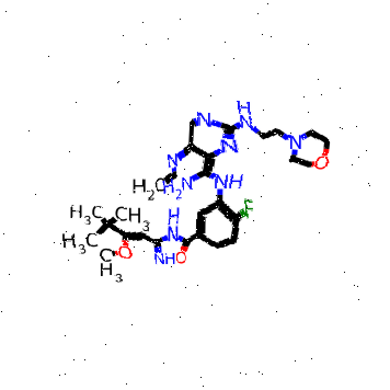 C=C/N=C1/C=NC(NCCN2CCOCC2)=N/C1=C(/N)Nc1cc(C(=O)NC(=N)/C=C(\OC)C(C)(C)C)ccc1F